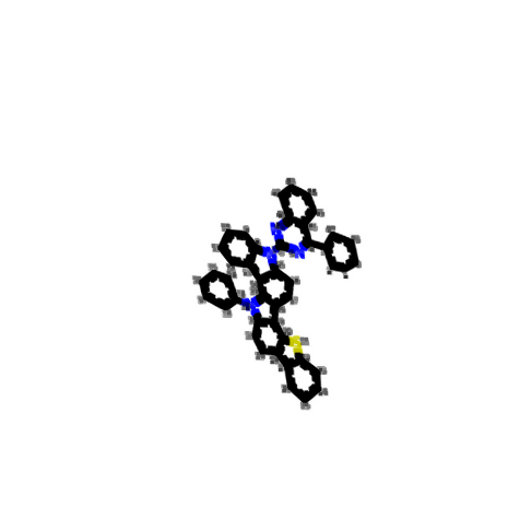 c1ccc(-c2nc(-n3c4ccccc4c4c3ccc3c5c6sc7ccccc7c6ccc5n(-c5ccccc5)c34)nc3ccccc23)cc1